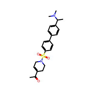 CC(=O)C1=CCN(S(=O)(=O)c2ccc(-c3ccc(C(C)N(C)C)cc3)cc2)CC1